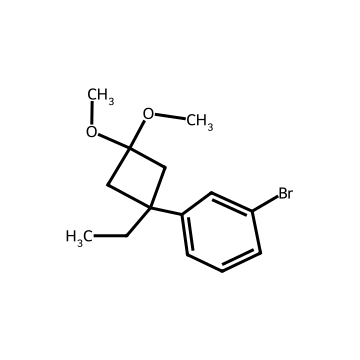 CCC1(c2cccc(Br)c2)CC(OC)(OC)C1